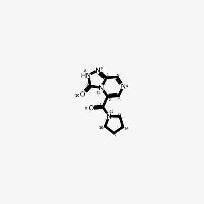 O=C(c1cncc2n[nH]c(=O)n12)N1CCCC1